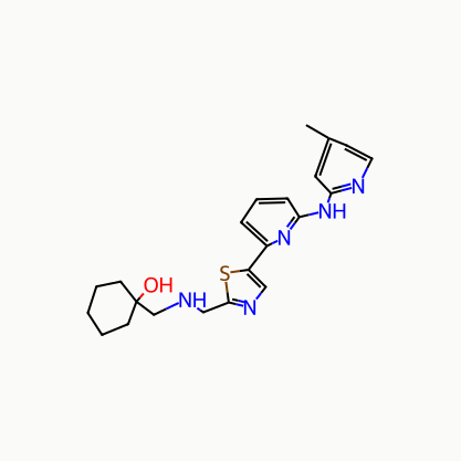 Cc1ccnc(Nc2cccc(-c3cnc(CNCC4(O)CCCCC4)s3)n2)c1